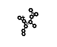 CC1(C)c2ccccc2-c2cc3c4cc(-c5ccc6ccccc6c5)ccc4n(-c4cc(-c5ccccc5)cc(-c5ccc6c(c5)c5ccccc5n6-c5ccccc5)c4)c3cc21